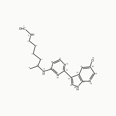 CC(CCCCNC=O)Nc1ccnc(-c2c[nH]c3ncc(Cl)cc23)n1